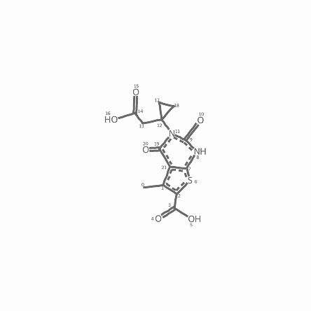 Cc1c(C(=O)O)sc2[nH]c(=O)n(C3(CC(=O)O)CC3)c(=O)c12